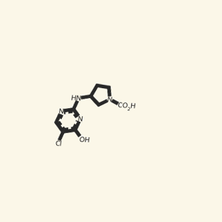 O=C(O)N1CCC(Nc2ncc(Cl)c(O)n2)C1